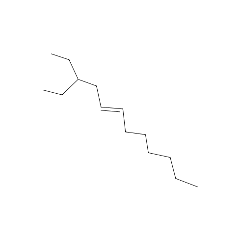 CCCCCCC=CCC(CC)CC